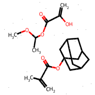 C=C(C)C(=O)OC12CC3CC(CC(C3)C1)C2.C=C(O)C(=O)OC(C)OC